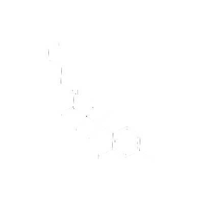 CC(C)(C)SCCNC(=O)C(C)(C)S(=O)(=O)c1ccc(Cl)cc1Cl